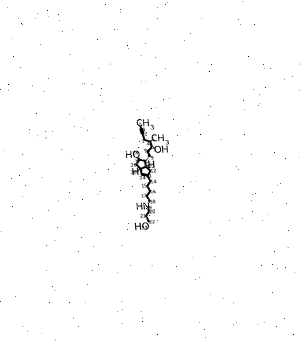 CC#CC[C@@H](C)[C@H](O)/C=C/[C@@H]1[C@H]2CC(CCCCCNCCCO)=C[C@H]2C[C@H]1O